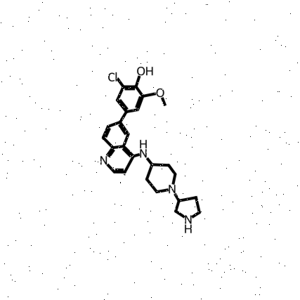 COc1cc(-c2ccc3nc[c]c(NC4CCN(C5CCNC5)CC4)c3c2)cc(Cl)c1O